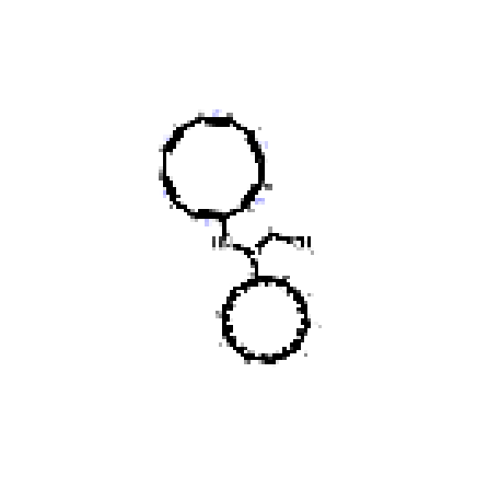 CCN(NC1=C/C=C\C=C/C=C\C=C/C=C\1)c1ccccccccc1